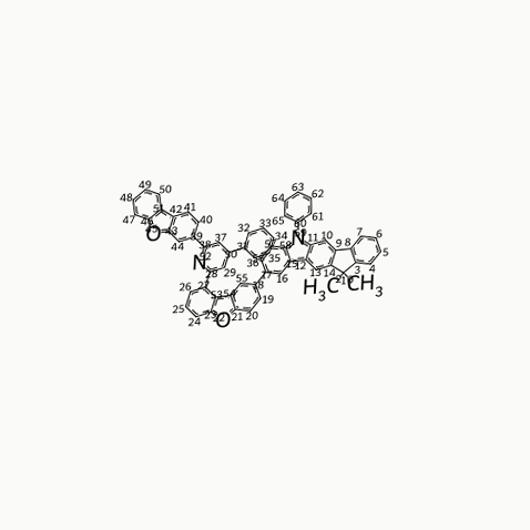 CC1(C)c2ccccc2-c2cc3c(cc21)c1cc(-c2ccc4oc5cccc(-c6cc(-c7ccccc7)cc(-c7ccc8c(c7)oc7ccccc78)n6)c5c4c2)ccc1n3-c1ccccc1